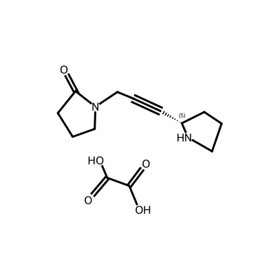 O=C(O)C(=O)O.O=C1CCCN1CC#C[C@@H]1CCCN1